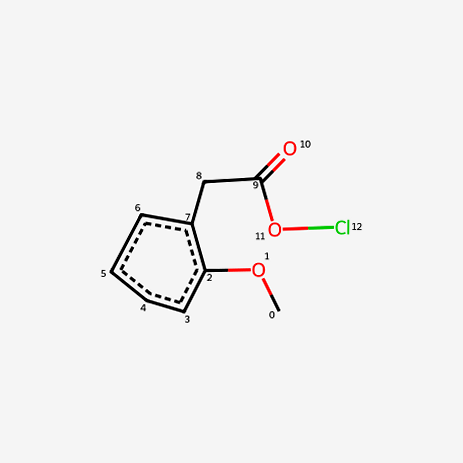 COc1ccccc1CC(=O)OCl